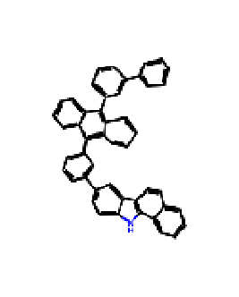 c1ccc(-c2cccc(-c3c4ccccc4c(-c4cccc(-c5ccc6[nH]c7c8ccccc8ccc7c6c5)c4)c4ccccc34)c2)cc1